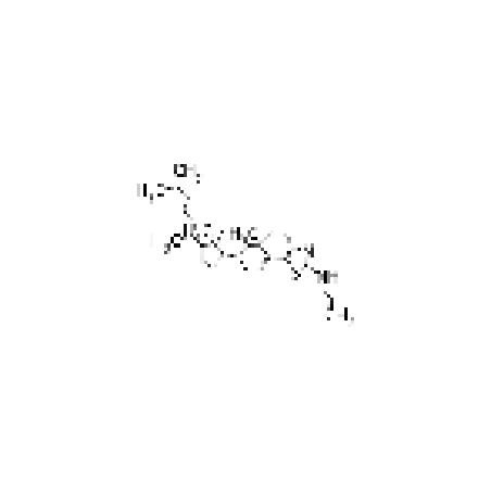 C=CCNc1nc2c(s1)C1=CCC3C(CCC4(C)C(C(C)CCCC(C)C)CCC34)C1(C)CC2